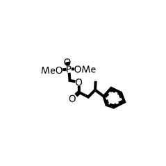 COP(=O)(COC(=O)CC(C)c1ccccc1)OC